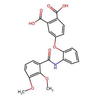 COc1cccc(C(=O)Nc2ccccc2Oc2ccc(C(=O)O)c(C(=O)O)c2)c1OC